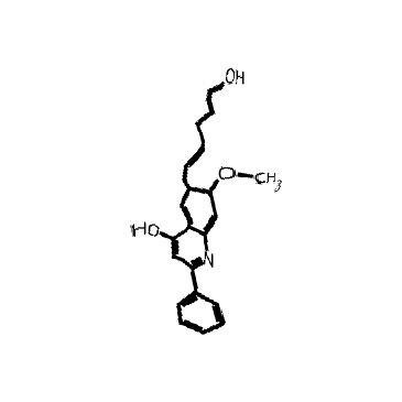 COC1C=c2nc(-c3ccccc3)cc(O)c2=CC1C=CCCCO